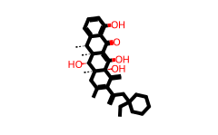 C=C(CC1(CC)CCCCC1)C1=C(C)C[C@@]2(C)[C@H](O)[C@]3(C)C(=C(O)[C@@]2(O)C1=C)C(=O)c1c(O)cccc1[C@H]3C